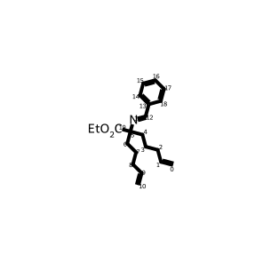 C=CCCCC(CCCC=C)(/N=C/c1ccccc1)C(=O)OCC